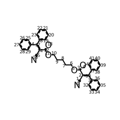 N#CC(C(=O)OCCCCCOC(=O)C(C#N)=C(c1ccccc1)c1ccccc1)=C(c1ccccc1)c1ccccc1